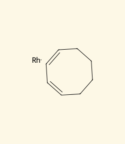 C1=CCCCCC=C1.[Rh]